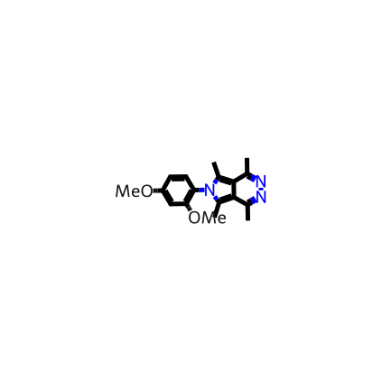 COc1ccc(-n2c(C)c3c(C)nnc(C)c3c2C)c(OC)c1